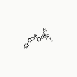 CCS(=O)(=O)C(C)COc1cccc(C(=O)N2Cc3ccc(-c4ccncc4)cc3C2)c1